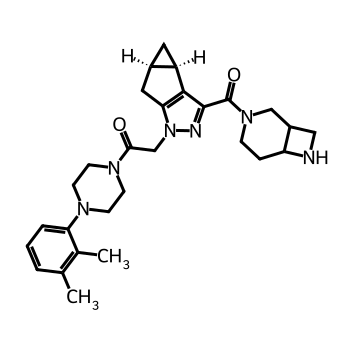 Cc1cccc(N2CCN(C(=O)Cn3nc(C(=O)N4CCC5NCC5C4)c4c3C[C@H]3C[C@@H]43)CC2)c1C